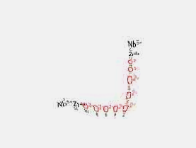 [Nb+5].[Nb+5].[O-2].[O-2].[O-2].[O-2].[O-2].[O-2].[O-2].[O-2].[O-2].[Zr+4].[Zr+4]